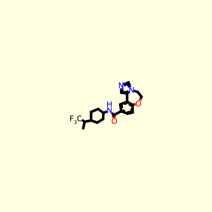 CC(C1CCC(NC(=O)c2ccc3c(c2)-c2cncn2CCO3)CC1)C(F)(F)F